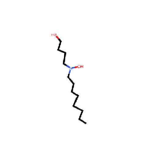 CCCCCCCCN(O)CCCCO